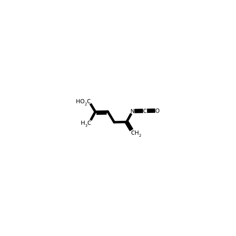 C=C(CC=C(C)C(=O)O)N=C=O